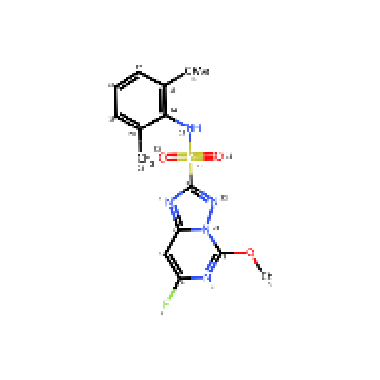 CCOc1nc(F)cc2nc(S(=O)(=O)Nc3c(OC)cccc3C(F)(F)F)nn12